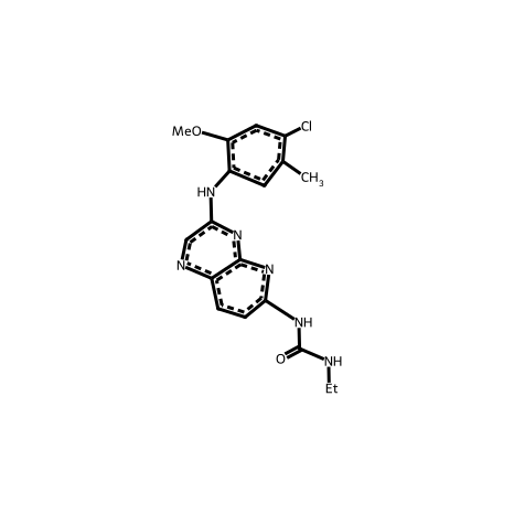 CCNC(=O)Nc1ccc2ncc(Nc3cc(C)c(Cl)cc3OC)nc2n1